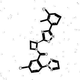 Cc1c(Cl)cccc1-c1noc([C@@H]2CCN2C(=O)c2cc(Cl)ccc2-n2nccn2)n1